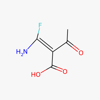 CC(=O)C(C(=O)O)=C(N)F